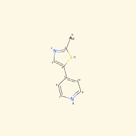 CC(=O)c1ncc(-c2ccncc2)s1